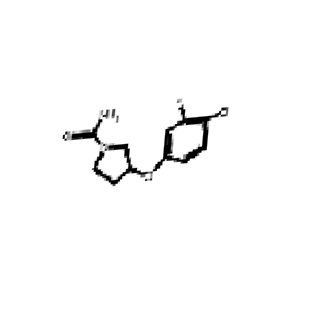 NC(=O)N1C[CH]C(Oc2ccc(Cl)c(F)c2)C1